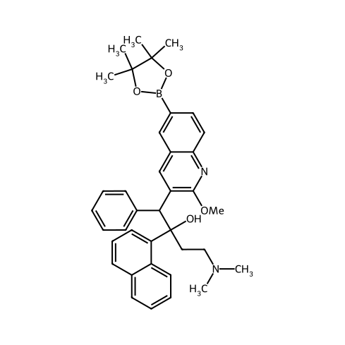 COc1nc2ccc(B3OC(C)(C)C(C)(C)O3)cc2cc1C(c1ccccc1)C(O)(CCN(C)C)c1cccc2ccccc12